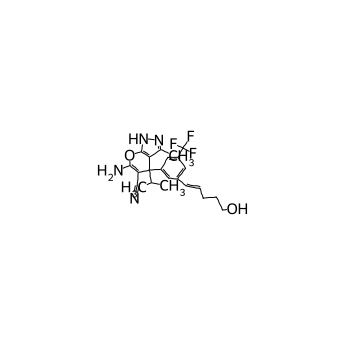 Cc1n[nH]c2c1C(c1cc(/C=C/CCCO)cc(C(F)(F)F)c1)(C(C)C)C(C#N)=C(N)O2